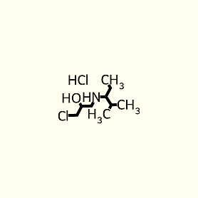 CCC(NCC(O)CCl)C(C)C.Cl